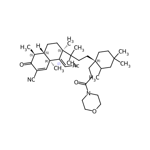 CC(=O)/C=C1/[C@@]2(C)C=C(C#N)C(=O)[C@@H](C)[C@@H]2CC[C@@]1(C)C(C)(C)CC[C@@]1(CCC(=O)N2CCOCC2)CCC(C)(C)CC1C